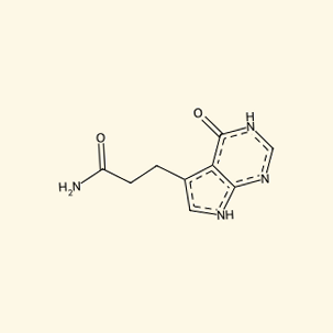 NC(=O)CCc1c[nH]c2nc[nH]c(=O)c12